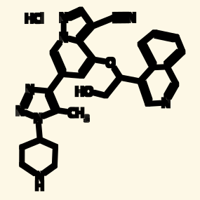 Cc1c(-c2cc(OC(CO)c3cncc4ccccc34)c3c(C#N)cnn3c2)nnn1C1CCNCC1.Cl